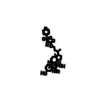 CC[C@H]1[C@@H](O)[C@@H]2[C@H](CC[C@]3(C)[C@@H]([C@H](C)CCOC(=O)NS(=O)(=O)c4ccncc4)CC[C@@H]23)[C@@]2(C)CC[C@@H](O)C[C@@H]12